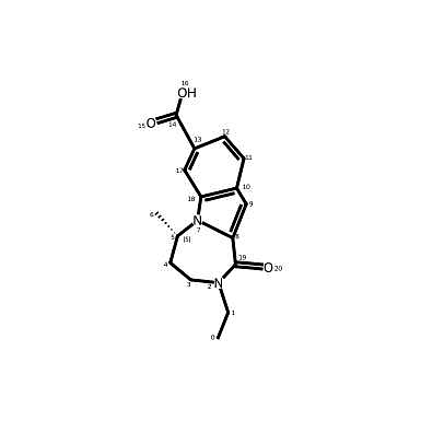 CCN1CC[C@H](C)n2c(cc3ccc(C(=O)O)cc32)C1=O